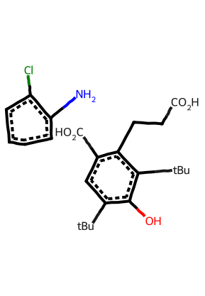 CC(C)(C)c1cc(C(=O)O)c(CCC(=O)O)c(C(C)(C)C)c1O.Nc1ccccc1Cl